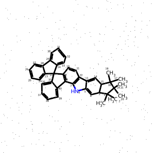 CC1(C)C2C=c3[nH]c4c5c(ccc4c3=CC2C(C)(C)C1(C)C)C1(c2ccccc2-c2ccccc21)c1ccccc1-5